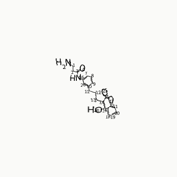 NCCC(=O)Nc1cccc(CCCc2c(O)c3ccccc3oc2=O)c1